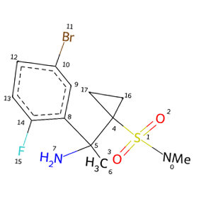 CNS(=O)(=O)C1(C(C)(N)c2cc(Br)ccc2F)CC1